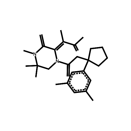 C=C(C)/C(C)=C1/C(=C)N(C)C(C)(C)CN1C(=C)CC1(c2cc(C)cc(C)c2)CCCC1